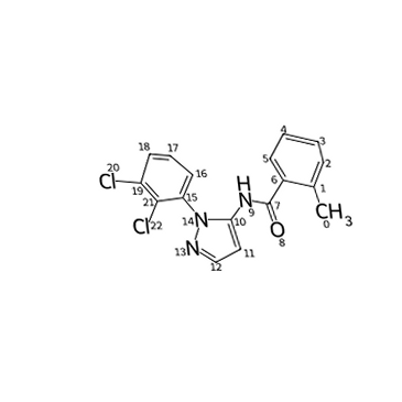 Cc1ccccc1C(=O)Nc1ccnn1-c1cccc(Cl)c1Cl